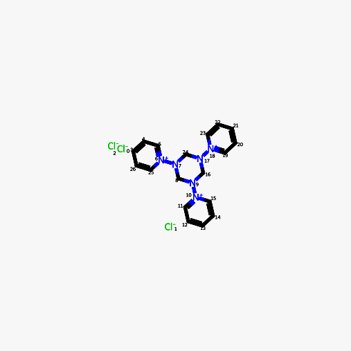 [Cl-].[Cl-].[Cl-].c1cc[n+](N2CN([n+]3ccccc3)CN([n+]3ccccc3)C2)cc1